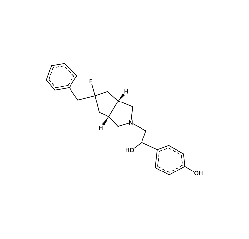 Oc1ccc(C(O)CN2C[C@@H]3CC(F)(Cc4ccccc4)C[C@@H]3C2)cc1